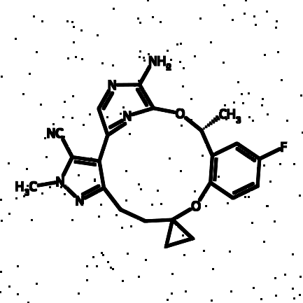 C[C@H]1Oc2nc(cnc2N)-c2c(nn(C)c2C#N)CCC2(CC2)Oc2ccc(F)cc21